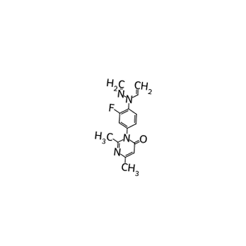 C=CN(N=C)c1ccc(-n2c(C)nc(C)cc2=O)cc1F